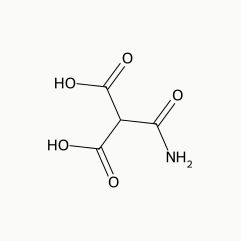 NC(=O)C(C(=O)O)C(=O)O